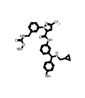 CC(C)(C)OC(=O)NCc1cccc(-n2nc(C(F)(F)F)cc2C(=O)Nc2cccc(C(NCC3CC3)c3ccc(C(C)(C)C)cc3)c2)c1